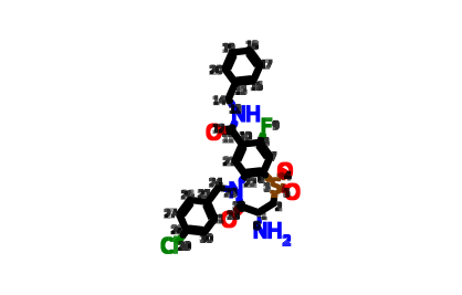 N[C@H]1CS(=O)(=O)c2cc(F)c(C(=O)NCc3ccccc3)cc2N(Cc2ccc(Cl)cc2)C1=O